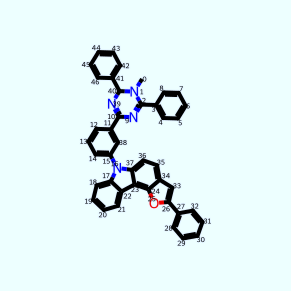 CN1C(c2ccccc2)=NC(c2cccc(-n3c4ccccc4c4c5oc(-c6ccccc6)cc5ccc43)c2)=NC1c1ccccc1